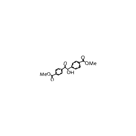 COC(=O)c1ccc(C(=O)C(O)c2ccc(C(=O)OC)cc2)cc1